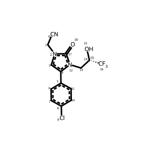 N#CCn1cc(-c2ccc(Cl)cc2)n(C[C@H](O)C(F)(F)F)c1=O